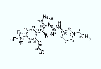 CCN1CCC[C@@H](Nc2nnc(-c3ccc(C(F)(F)F)cc3OC=O)c3cncn23)C1